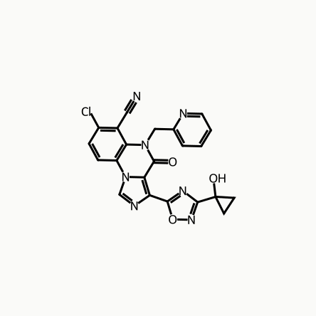 N#Cc1c(Cl)ccc2c1n(Cc1ccccn1)c(=O)c1c(-c3nc(C4(O)CC4)no3)ncn12